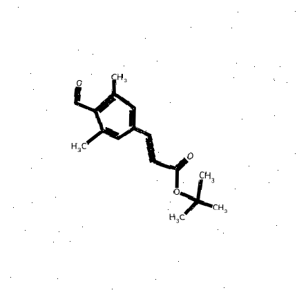 Cc1cc(/C=C/C(=O)OC(C)(C)C)cc(C)c1C=O